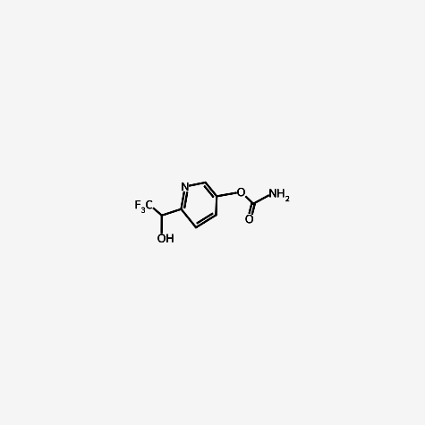 NC(=O)Oc1ccc(C(O)C(F)(F)F)nc1